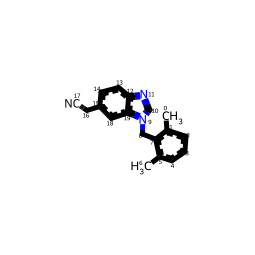 Cc1cccc(C)c1Cn1cnc2ccc(CC#N)cc21